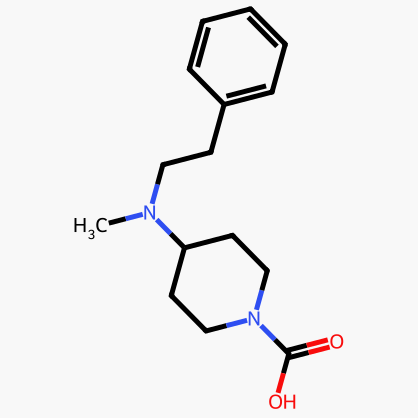 CN(CCc1ccccc1)C1CCN(C(=O)O)CC1